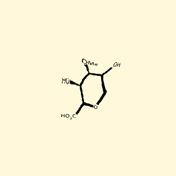 CO[C@H]1C(O)COC(C(=O)O)[C@H]1O